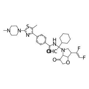 Cc1sc(N2CCN(C)CC2)nc1-c1ccc(C(=O)NC(C=O)(C2CCCCC2)N2CC(C(F)=CF)C3OCC(=O)C32)cc1